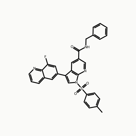 Cc1ccc(S(=O)(=O)n2cc(-c3cc(F)c4ncccc4c3)c3cc(C(=O)NCc4ccccc4)cnc32)cc1